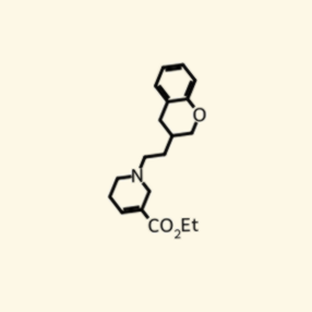 CCOC(=O)C1=CCCN(CCC2COc3ccccc3C2)C1